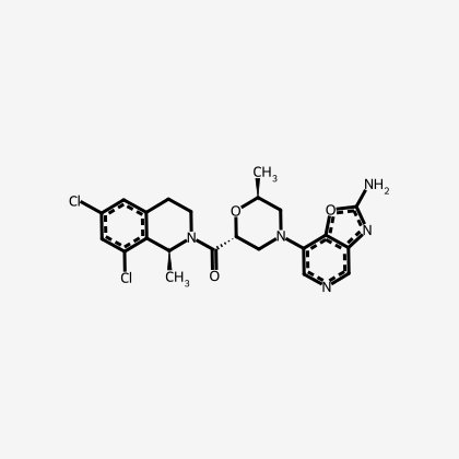 C[C@H]1CN(c2cncc3nc(N)oc23)C[C@H](C(=O)N2CCc3cc(Cl)cc(Cl)c3[C@@H]2C)O1